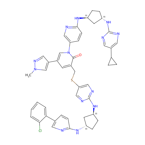 Cn1cc(-c2cc(CSc3cnc(N[C@H]4CC[C@H](Nc5ccc(-c6ccccc6Cl)cn5)C4)nc3)c(=O)n(-c3ccc(N[C@H]4CC[C@H](Nc5ncc(C6CC6)cn5)C4)nc3)c2)cn1